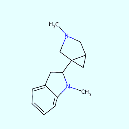 CN1CC2CC2(C2Cc3ccccc3N2C)C1